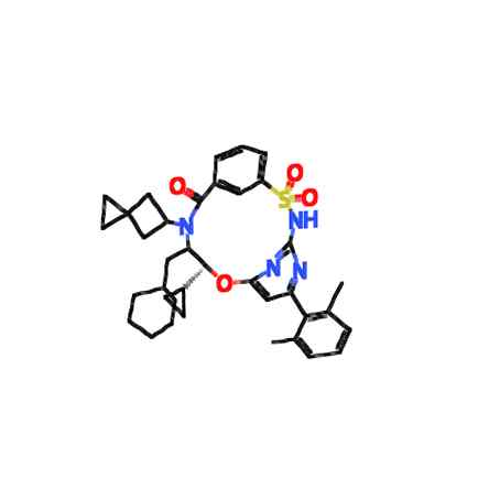 Cc1cccc(C)c1-c1cc2nc(n1)NS(=O)(=O)c1cccc(c1)C(=O)N(C1CC3(CC3)C1)C(CC1CCCCC1)[C@@H](C1CC1)O2